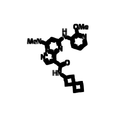 CNc1cc(Nc2cccnc2OC)nc2c(C(=O)NC3CC4(CCC4)C3)cnn12